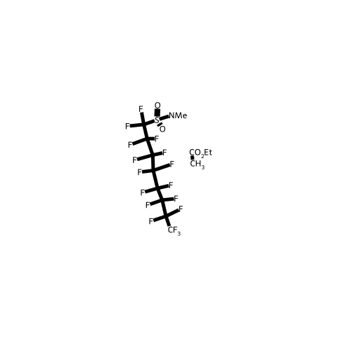 CCOC(C)=O.CNS(=O)(=O)C(F)(F)C(F)(F)C(F)(F)C(F)(F)C(F)(F)C(F)(F)C(F)(F)C(F)(F)F